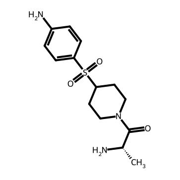 C[C@H](N)C(=O)N1CCC(S(=O)(=O)c2ccc(N)cc2)CC1